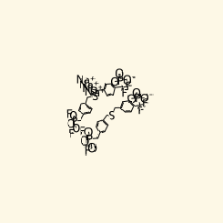 O=P(Cc1ccc(CSCc2ccc(C(F)(F)P(=O)([O-])[O-])cc2)cc1)(OF)OF.O=P(Cc1ccc(CSCc2ccc(C(F)(F)P(=O)([O-])[O-])cc2)cc1)(OF)OF.[Na+].[Na+].[Na+].[Na+]